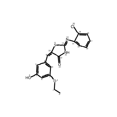 CCOc1cc(O)cc(C=C2S/C(=N/c3ccccc3Cl)NC2=O)c1